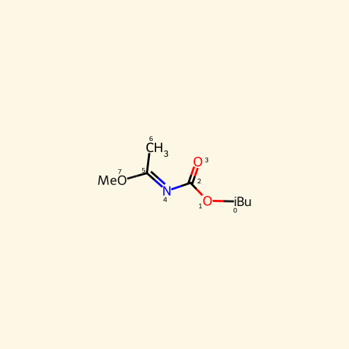 CCC(C)OC(=O)/N=C(\C)OC